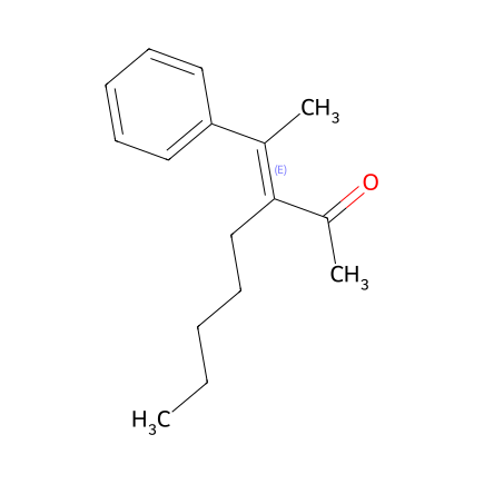 CCCCC/C(C(C)=O)=C(/C)c1ccccc1